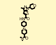 Cc1nn(C2CCOCC2)c2sc(C(=O)N[C@H]3CC[C@@H](N4CCC(C(=O)N(C)C)CC4)CC3)cc12